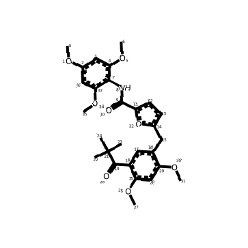 COc1cc(OC)c(NC(=O)c2ccc(Cc3cc(C(=O)C(C)(C)C)c(OC)cc3OC)o2)c(OC)c1